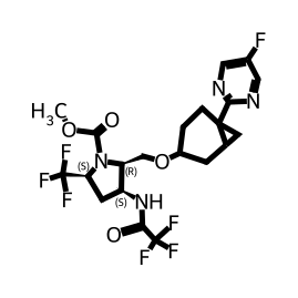 COC(=O)N1[C@H](C(F)(F)F)C[C@H](NC(=O)C(F)(F)F)[C@@H]1COC1CCC2(c3ncc(F)cn3)CC2C1